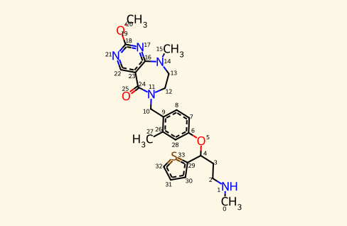 CNCCC(Oc1ccc(CN2CCN(C)c3nc(OC)ncc3C2=O)c(C)c1)c1cccs1